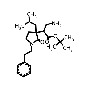 CC(C)CC1(C(CN)C(=O)OC(C)(C)C)CCN(CCc2ccccc2)C1=O